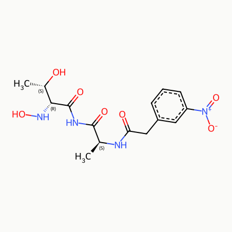 C[C@H](NC(=O)Cc1cccc([N+](=O)[O-])c1)C(=O)NC(=O)[C@H](NO)[C@H](C)O